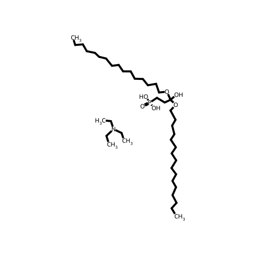 CCCCCCCCCCCCCCCCOC(O)(CCP(=O)(O)O)OCCCCCCCCCCCCCCCC.CCN(CC)CC